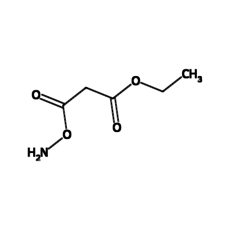 CCOC(=O)CC(=O)ON